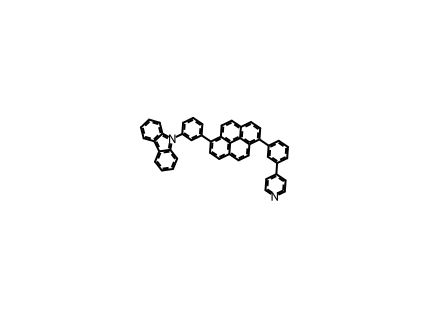 c1cc(-c2ccncc2)cc(-c2ccc3ccc4c(-c5cccc(-n6c7ccccc7c7ccccc76)c5)ccc5ccc2c3c54)c1